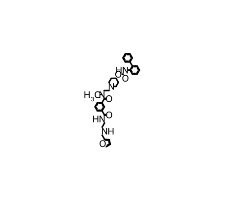 CN(CCN1CCC(OC(=O)Nc2ccccc2-c2ccccc2)CC1)C(=O)c1cccc(C(=O)NCCNCc2ccco2)c1